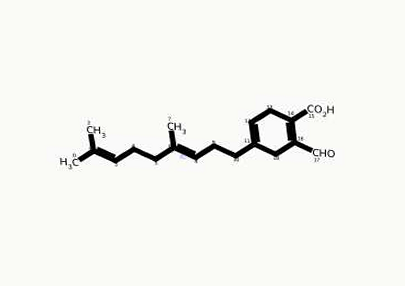 CC(C)=CCC/C(C)=C/CCC1=CCC(C(=O)O)=C(C=O)C1